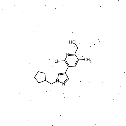 Cc1cc(-c2cnn(CC3CCCC3)c2)c(Cl)nc1CO